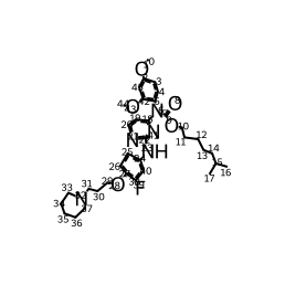 COc1ccc(N(C(=O)OCCCCCC(C)C)c2ccnc(Nc3ccc(OCCCN4CCCCC4)c(F)c3)n2)c(OC)c1